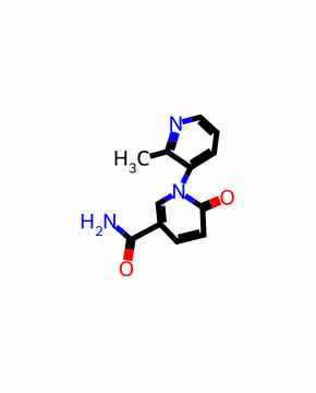 Cc1ncccc1-n1cc(C(N)=O)ccc1=O